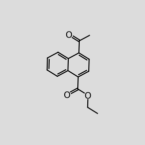 CCOC(=O)c1ccc(C(C)=O)c2ccccc12